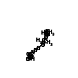 CC(C)(c1ccc(OCCCCCOCCCOCC2CCN(c3ccc4c(c3)C(=O)N(C3CCC(=O)NC3=O)C4=O)C2)cc1)c1ccc(OCc2ccnc(NS(C)(=O)=O)n2)cc1